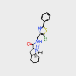 O=C(NCc1nc(-c2ccccc2)sc1Cl)C1CC2CCCC[C@@H]2N1